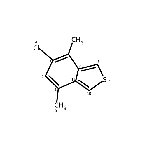 Cc1cc(Cl)c(C)c2cscc12